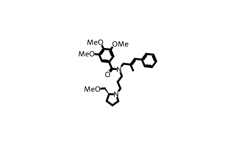 COC[C@@H]1CCCN1CCCN(C/C(C)=C/c1ccccc1)C(=O)c1cc(OC)c(OC)c(OC)c1